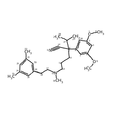 COc1cc(OC)cc(C(C#N)(CCCN(C)CCc2cc(C)cc(C)c2)C(C)C)c1